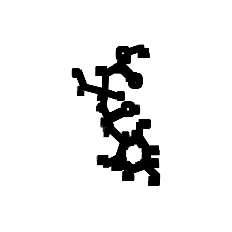 CCC(C)(CC(=O)Cc1c(C)cc(C)cc1C)CC(=O)OC